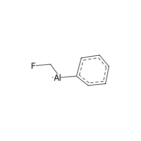 F[CH2][Al][c]1ccccc1